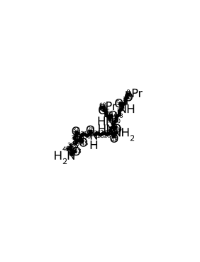 CCCOCCC(=O)NCCCCC(NC(=O)CCOCCC)C(=O)NC(CCCCNC(=O)CCN1C(=O)CC(SCC(C)C(N)=O)C1=O)C(N)=O